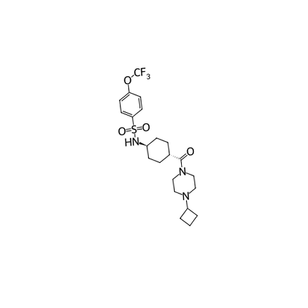 O=C([C@H]1CC[C@H](NS(=O)(=O)c2ccc(OC(F)(F)F)cc2)CC1)N1CCN(C2CCC2)CC1